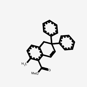 COC(=O)c1c(C)ccc2c1C=CC(c1ccccc1)(c1ccccc1)C2